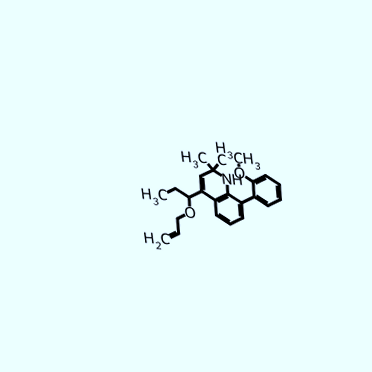 C=CCOC(CC)C1=CC(C)(C)Nc2c1cccc2-c1ccccc1OC